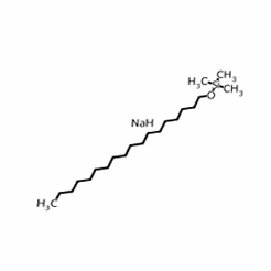 CCCCCCCCCCCCCCCCCCO[Si](C)(C)C.[NaH]